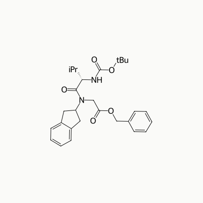 CC(C)[C@H](NC(=O)OC(C)(C)C)C(=O)N(CC(=O)OCc1ccccc1)C1Cc2ccccc2C1